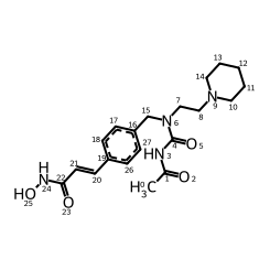 CC(=O)NC(=O)N(CCN1CCCCC1)Cc1ccc(/C=C/C(=O)NO)cc1